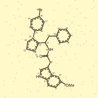 COc1ccc2[nH]cc(CC(=O)NC(Cc3ccccc3)c3nccn3-c3ccc(Br)cc3)c2c1